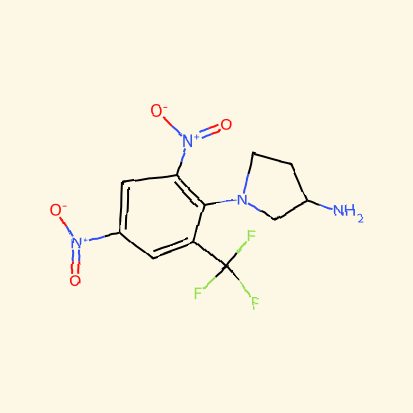 NC1CCN(c2c([N+](=O)[O-])cc([N+](=O)[O-])cc2C(F)(F)F)C1